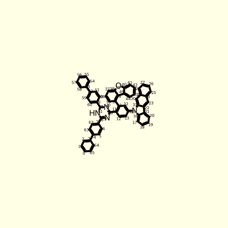 c1ccc(-c2ccc(C3=NC(c4ccc(-n5c6ccccc6c6cc7ccccc7cc65)cc4-c4cccc5oc6ccccc6c45)=NC(c4ccc(-c5ccccc5)cc4)N3)cc2)cc1